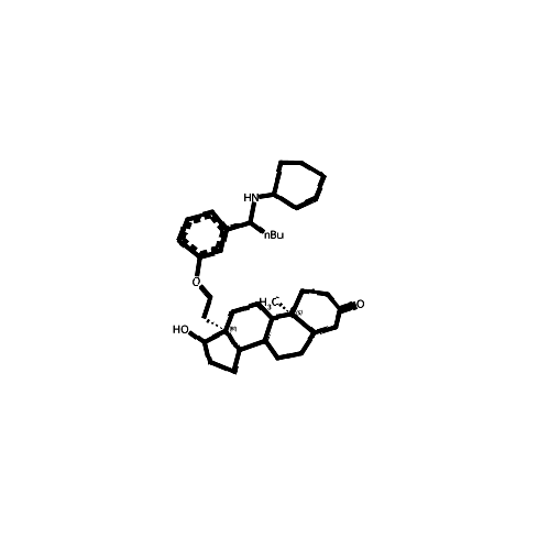 CCCCC(NC1CCCCC1)c1cccc(OCC[C@]23CCC4C(CCC5CC(=O)CC[C@@]54C)C2CCC3O)c1